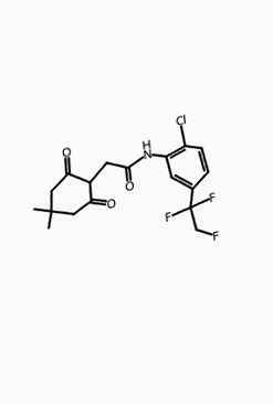 CC1(C)CC(=O)C(CC(=O)Nc2cc(C(F)(F)CF)ccc2Cl)C(=O)C1